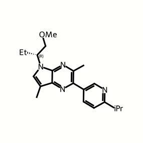 CC[C@H](COC)n1cc(C)c2nc(-c3ccc(C(C)C)nc3)c(C)nc21